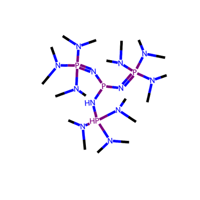 CN(C)P(=NP(N=P(N(C)C)(N(C)C)N(C)C)N[PH](N(C)C)(N(C)C)N(C)C)(N(C)C)N(C)C